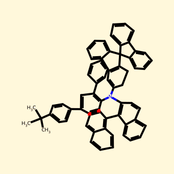 CC(C)(C)c1ccc(-c2ccc(N(C3=CC4=C(CC3)C3(c5ccccc54)c4ccccc4-c4ccccc43)c3ccc4ccccc4c3-c3c#ccc4ccccc34)c(-c3ccccc3)c2)cc1